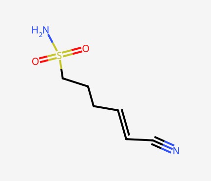 N#CC=CCCCS(N)(=O)=O